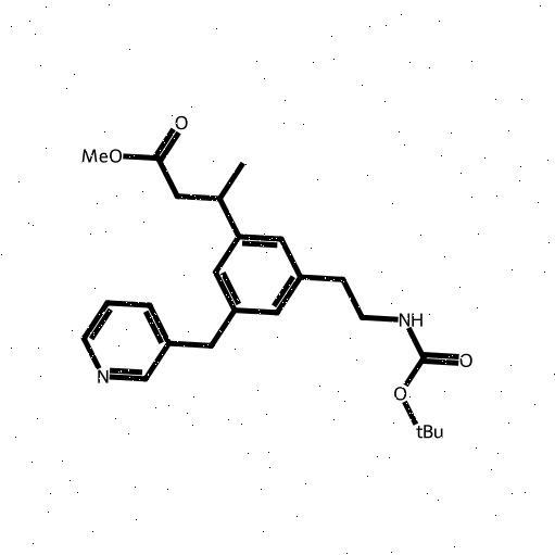 COC(=O)CC(C)c1cc(CCNC(=O)OC(C)(C)C)cc(Cc2cccnc2)c1